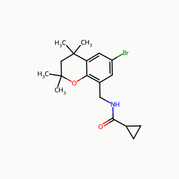 CC1(C)CC(C)(C)c2cc(Br)cc(CNC(=O)C3CC3)c2O1